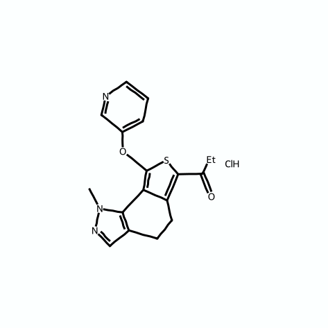 CCC(=O)c1sc(Oc2cccnc2)c2c1CCc1cnn(C)c1-2.Cl